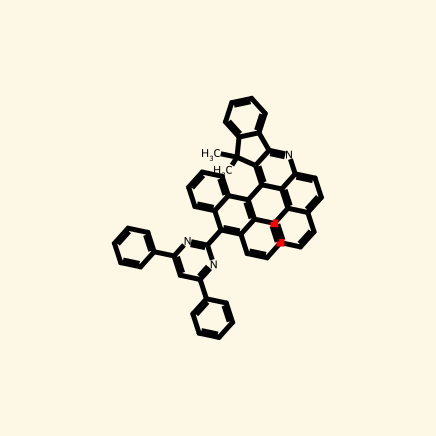 CC1(C)c2ccccc2-c2nc3ccc4ccccc4c3c(-c3c4ccccc4c(-c4nc(-c5ccccc5)cc(-c5ccccc5)n4)c4ccccc34)c21